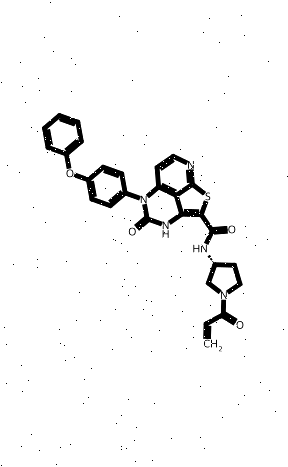 C=CC(=O)N1CC[C@@H](NC(=O)c2sc3nccc4c3c2NC(=O)N4c2ccc(Oc3ccccc3)cc2)C1